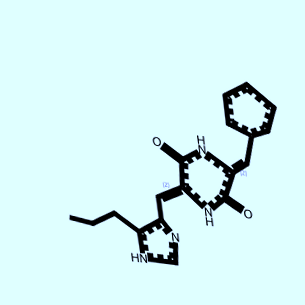 CCCc1[nH]cnc1/C=c1\[nH]c(=O)/c(=C/c2ccccc2)[nH]c1=O